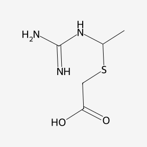 CC(NC(=N)N)SCC(=O)O